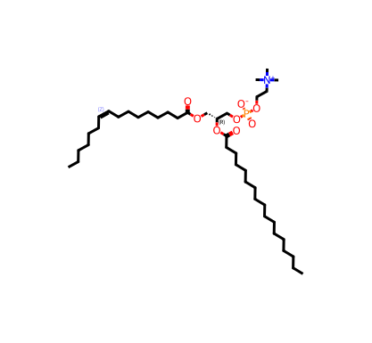 CCCCCC/C=C\CCCCCCCC(=O)OC[C@H](COP(=O)([O-])OCC[N+](C)(C)C)OC(=O)CCCCCCCCCCCCCCCC